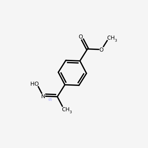 COC(=O)c1ccc(/C(C)=N\O)cc1